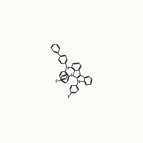 Fc1ccc(-n2c3ccccc3c3c4cccc(N(c5ccccc5)c5ccc(-c6ccccc6)cc5)c4n(-c4ccc(F)cc4)c32)cc1